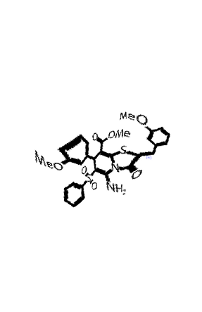 COC(=O)C1=c2s/c(=C\c3cccc(OC)c3)c(=O)n2C(N)=C(S(=O)(=O)c2ccccc2)C1c1cccc(OC)c1